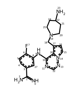 N=C(N)c1ccc(F)c(Nc2ncnn3ccc(CN4CCC(N)CC4)c23)c1